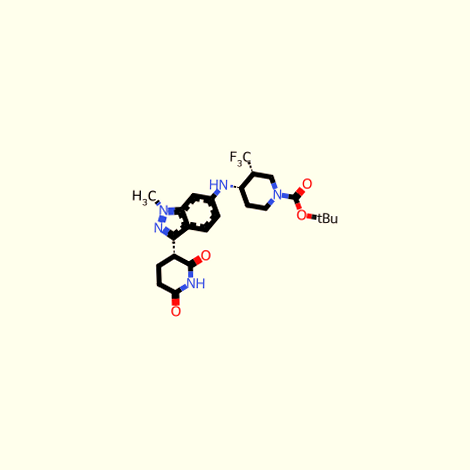 Cn1nc([C@H]2CCC(=O)NC2=O)c2ccc(N[C@H]3CCN(C(=O)OC(C)(C)C)C[C@H]3C(F)(F)F)cc21